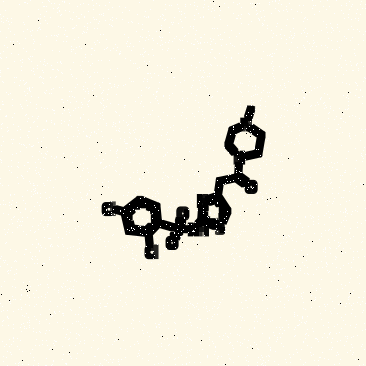 CN1CCN(C(=O)Cc2csc(NS(=O)(=O)c3ccc(Cl)cc3Cl)n2)CC1